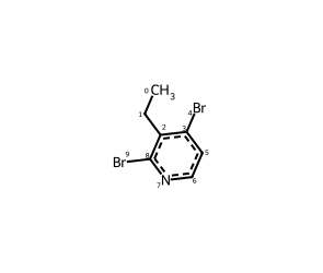 CCc1c(Br)ccnc1Br